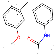 CC(=O)Nc1cc[c]cc1.COc1cc[c]c(C)c1